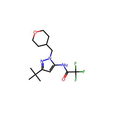 CC(C)(C)c1cc(NC(=O)C(F)(F)F)n(CC2CCOCC2)n1